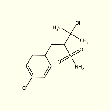 CC(C)(O)C(Cc1ccc(Cl)cc1)S(N)(=O)=O